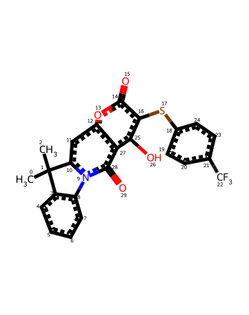 CC1(C)c2ccccc2-n2c1cc1oc(=O)c(Sc3ccc(C(F)(F)F)cc3)c(O)c1c2=O